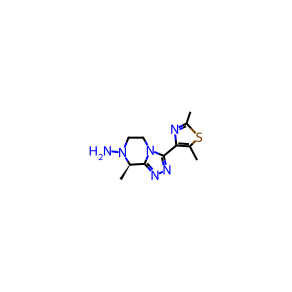 Cc1nc(-c2nnc3n2CCN(N)[C@@H]3C)c(C)s1